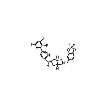 Fc1cc(F)c(F)c(-c2ccc(NC3C[C@@H]4CN(Cc5ccc6c(c5)OC(F)(F)O6)C[C@@H]4C3)nn2)c1